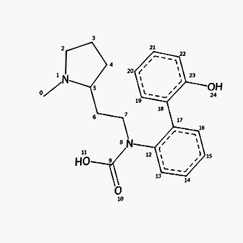 CN1CCCC1CCN(C(=O)O)c1ccccc1-c1ccccc1O